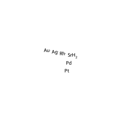 [Ag].[Au].[Pd].[Pt].[Rh].[SrH2]